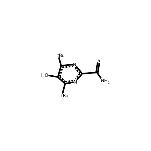 CC(C)(C)c1nc(C(N)=S)nc(C(C)(C)C)c1O